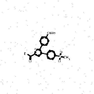 CCC(=O)c1cc(-c2ccc(S(C)(=O)=O)cc2)c(-c2ccc(OC)cc2)s1